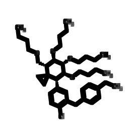 CCCCOC[C@@H]1[C@@H](OCCCC)[C@H](OCCCC)[C@@H](OCCCC)[C@H](c2ccc(Cl)c(Cc3ccc(CC)cc3)c2)C12CC2